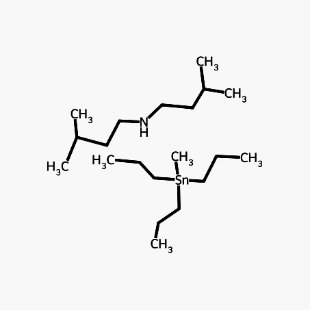 CC(C)CCNCCC(C)C.CC[CH2][Sn]([CH3])([CH2]CC)[CH2]CC